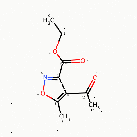 CCOC(=O)c1noc(C)c1C(C)=O